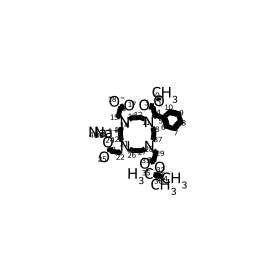 COC(=O)C(c1ccccc1)N1CCN(CC(=O)[O-])CCN(CC(=O)[O-])CCN(CC(=O)OC(C)(C)C)CC1.[Na+].[Na+]